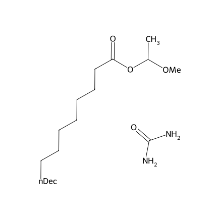 CCCCCCCCCCCCCCCCCC(=O)OC(C)OC.NC(N)=O